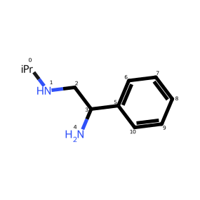 CC(C)NCC(N)c1ccccc1